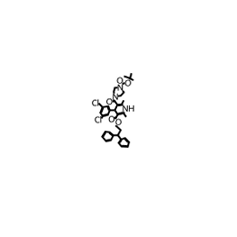 CC1=C(C(=O)OCCC(c2ccccc2)c2ccccc2)C(c2cc(Cl)cc(Cl)c2)C(C(=O)N2CCN(C(=O)OC(C)(C)C)CC2)=C(C)N1